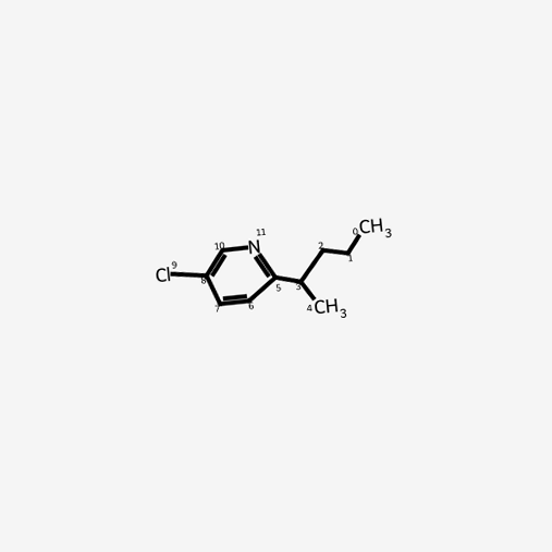 CCCC(C)c1ccc(Cl)cn1